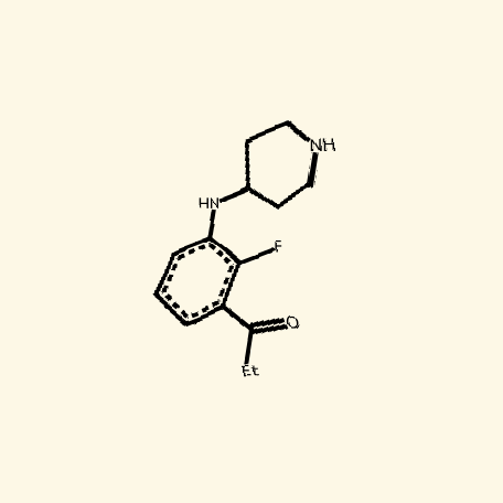 CCC(=O)c1cccc(NC2CCNCC2)c1F